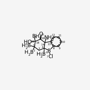 BC1(B)CC2(B)B(Cl)c3ccccc3C2(N)C(=O)C1(B)O